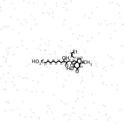 CC/C=C\C[C@H]1[C@H](CC(=O)[C@H](O)CCCCCCCC(=O)O)O[C@@]2(O)CC13CCN(C)C3=CC2=O